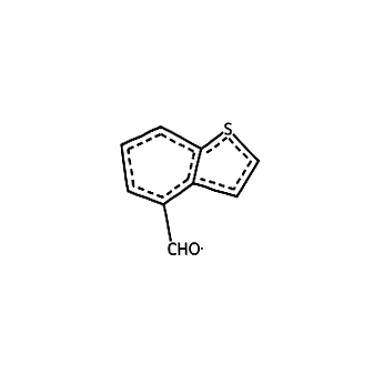 O=[C]c1cccc2sccc12